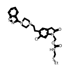 CCSCNC(=O)OCN1C(=O)Cc2cc(CCN3CCN(c4nsc5ccccc45)CC3)c(Cl)cc21